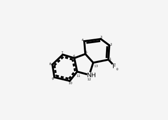 FC1=CC=CC2c3ccccc3NC12